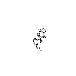 Nc1cccc(S(=O)(=O)Nc2ccc(Cl)nn2)c1